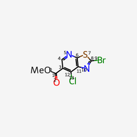 COC(=O)c1cnc2sc(Br)nc2c1Cl